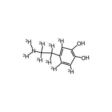 [2H]c1c([2H])c(C([2H])([2H])C([2H])([2H])N([2H])[2H])c([2H])c(O)c1O